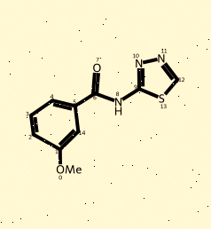 COc1cccc(C(=O)Nc2nn[c]s2)c1